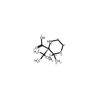 CC(C)(C)[C@@]1(C(=O)O)NCCSC1(C)C